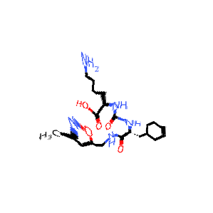 Cc1cc(CNC(=O)[C@@H](CC2CCCCC2)NC(=O)NC(CCCCN)C(=O)O)on1